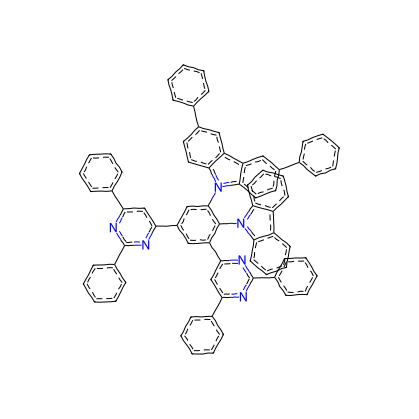 c1ccc(-c2ccc3c(c2)c2cc(-c4ccccc4)ccc2n3-c2cc(-c3cc(-c4ccccc4)nc(-c4ccccc4)n3)cc(-c3cc(-c4ccccc4)nc(-c4ccccc4)n3)c2-n2c3ccccc3c3ccccc32)cc1